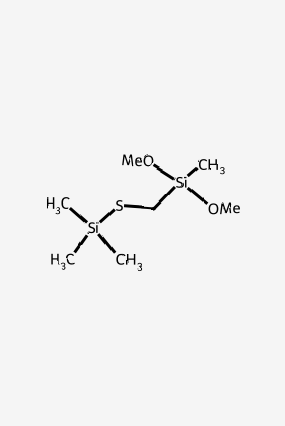 CO[Si](C)(CS[Si](C)(C)C)OC